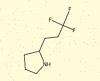 FC(F)(F)CCC1CCCN1